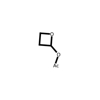 CC(=O)OC1CCO1